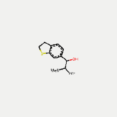 CCCC(NC)C(O)c1ccc2c(c1)SCC2